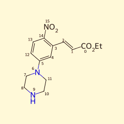 CCOC(=O)/C=C/c1cc(N2CCNCC2)ccc1[N+](=O)[O-]